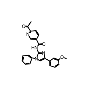 COc1cccc(-c2cn(-c3ccccc3)c(NC(=O)c3ccc(C(C)=O)nc3)n2)c1